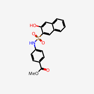 COC(=O)c1ccc(NS(=O)(=O)c2cc3ccccc3cc2O)cc1